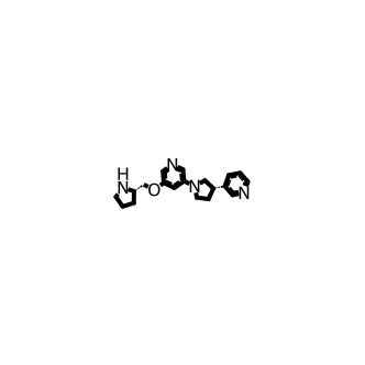 c1cncc([C@@H]2CCN(c3cncc(OC[C@@H]4CCCN4)c3)C2)c1